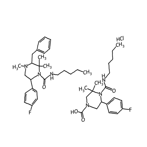 CCCCCNC(=O)N1C(c2ccc(F)cc2)CN(C(=O)O)CC1(C)C.CCCCCNC(=O)N1C(c2ccc(F)cc2)CN(C)C(Cc2ccccc2)C1(C)C.Cl